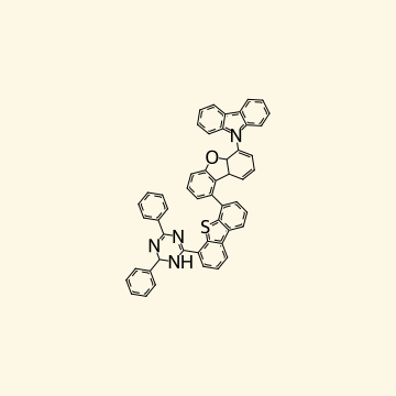 C1=CC2c3c(cccc3-c3cccc4c3sc3c(C5=NC(c6ccccc6)=NC(c6ccccc6)N5)cccc34)OC2C(n2c3ccccc3c3ccccc32)=C1